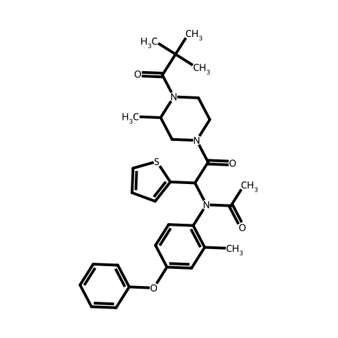 CC(=O)N(c1ccc(Oc2ccccc2)cc1C)C(C(=O)N1CCN(C(=O)C(C)(C)C)C(C)C1)c1cccs1